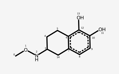 CONC1CCc2c(ccc(O)c2O)C1